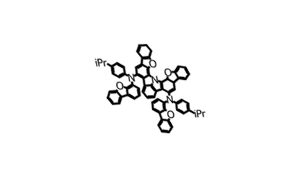 CC(C)c1ccc(N(C2=CC3c4ccccc4OC3c3c2c2cccc4c5c(N(c6ccc(C(C)C)cc6)c6cccc7c6oc6ccccc67)cc6c7c(oc6c5n3c24)CCC=C7)c2cccc3c2oc2ccccc23)cc1